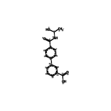 [CH2]C(O)NC(=O)c1ccc(-c2cccc(C(=O)O)c2)cc1